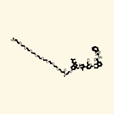 CNCCOCCOCCOCCOCCOCCOCCOCCOCCC(=O)N(C)CCOC1C=C2C(C)(CC(C)C)CC2(Cn2ncc(-c3ccc(N4CCc5cccc(C(=O)Nc6nc7ccccc7s6)c5C4)nc3C=O)c2C)C1